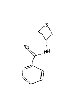 O=C(NC1CSC1)c1ccccc1